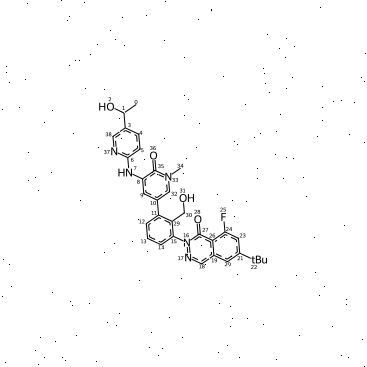 CC(O)c1ccc(Nc2cc(-c3cccc(-n4ncc5cc(C(C)(C)C)cc(F)c5c4=O)c3CO)cn(C)c2=O)nc1